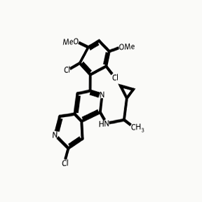 COc1cc(OC)c(Cl)c(-c2cc3cnc(Cl)cc3c(NC(C)C3CC3)n2)c1Cl